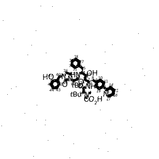 CN(C(=O)O)[C@H](C(=O)N[C@@H](Cc1ccc(-c2ccccn2)cc1)C[C@H](O)[C@H](Cc1ccccc1)NC(=O)[C@@H](N1CCN(Cc2ccccc2O)C1=O)C(C)(C)C)C(C)(C)C